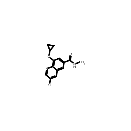 CNC(=O)c1cc(OC2CC2)c2ncc(Cl)cc2c1